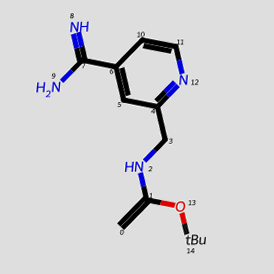 C=C(NCc1cc(C(=N)N)ccn1)OC(C)(C)C